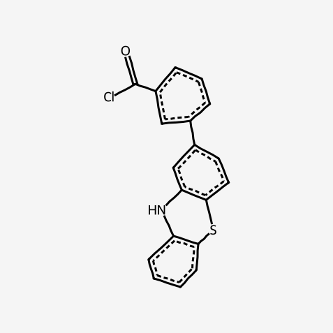 O=C(Cl)c1cccc(-c2ccc3c(c2)Nc2ccccc2S3)c1